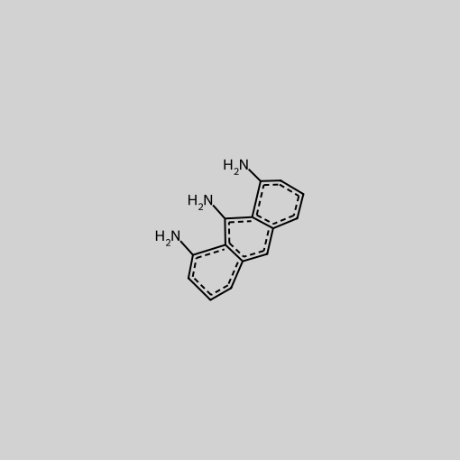 Nc1cccc2cc3cccc(N)c3c(N)c12